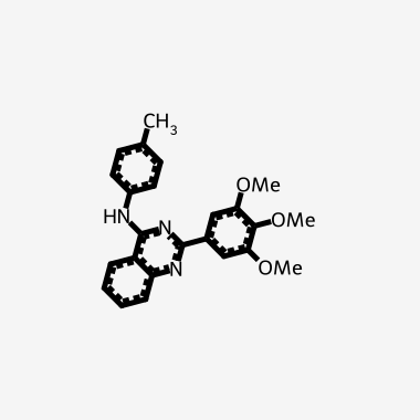 COc1cc(-c2nc(Nc3ccc(C)cc3)c3ccccc3n2)cc(OC)c1OC